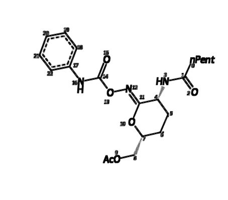 CCCCCC(=O)N[C@@H]1[CH][CH][C@H](COC(C)=O)OC1=NOC(=O)Nc1ccccc1